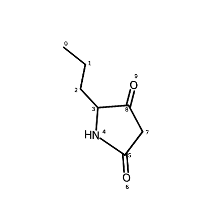 CCCC1NC(=O)CC1=O